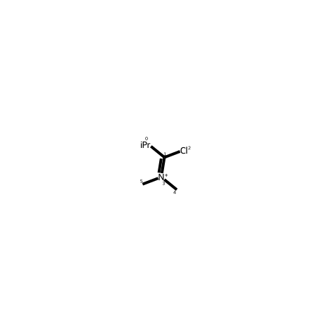 CC(C)C(Cl)=[N+](C)C